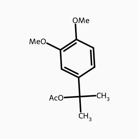 COc1ccc(C(C)(C)OC(C)=O)cc1OC